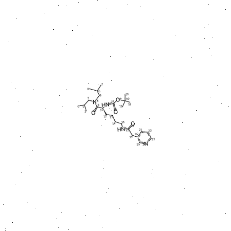 CC(C)CN(CC(C)C)C(=O)[C@H](CCCCNC(=O)Cc1cccnc1)NC(=O)OC(C)(C)C